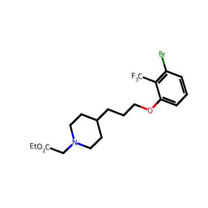 CCOC(=O)CN1CCC(CCCOc2cccc(Br)c2C(F)(F)F)CC1